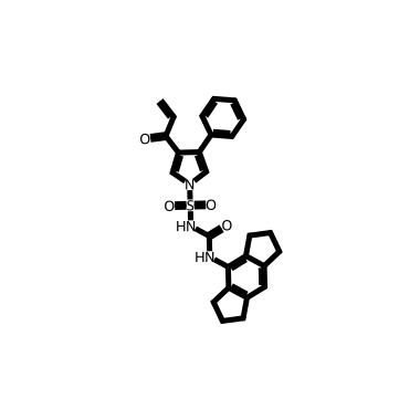 C=CC(=O)c1cn(S(=O)(=O)NC(=O)Nc2c3c(cc4c2CCC4)CCC3)cc1-c1ccccc1